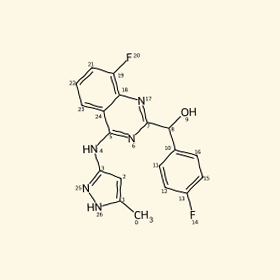 Cc1cc(Nc2nc(C(O)c3ccc(F)cc3)nc3c(F)cccc23)n[nH]1